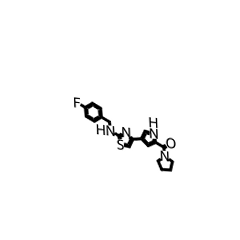 O=C(c1cc(-c2csc(NCc3ccc(F)cc3)n2)c[nH]1)N1CCCC1